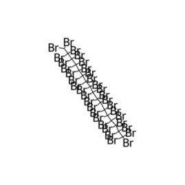 BrC(Br)C(Br)(Br)C(Br)(Br)C(Br)(Br)C(Br)(Br)C(Br)(Br)C(Br)(Br)C(Br)(Br)C(Br)(Br)C(Br)(Br)C(Br)(Br)C(Br)(Br)C(Br)(Br)C(Br)(Br)C(Br)(Br)C(Br)(Br)C(Br)(Br)Br